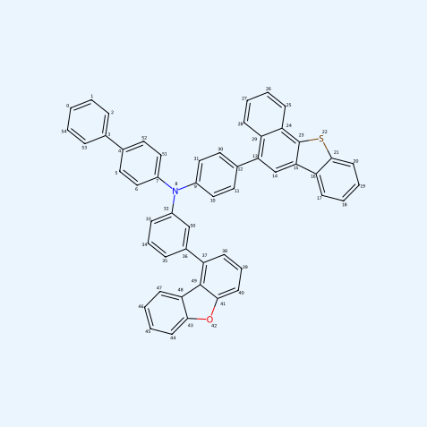 c1ccc(-c2ccc(N(c3ccc(-c4cc5c6ccccc6sc5c5ccccc45)cc3)c3cccc(-c4cccc5oc6ccccc6c45)c3)cc2)cc1